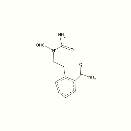 NC(=O)c1ccccc1CCN([C]=O)C(N)=O